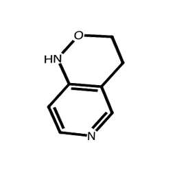 c1cc2c(cn1)CCON2